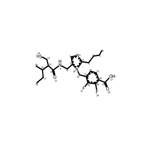 CCCCc1ncc(CNC(=O)C(CS)C(C)CC)n1Cc1ccc(C(=O)O)c(F)c1F